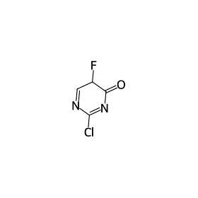 O=C1N=C(Cl)N=CC1F